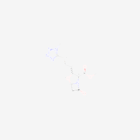 COC(=O)C1C(=CCSc2nnnn2C)OC2CC(=O)N21